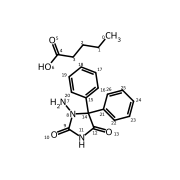 CCCCC(=O)O.NN1C(=O)NC(=O)C1(c1ccccc1)c1ccccc1